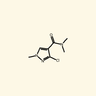 CN(C)C(=O)c1cn(C)nc1Cl